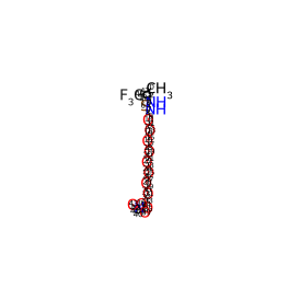 Cc1cc(NC(=S)NCCOCCOCCOCCOCCOCCOCCOCCOCCC(=O)ON2C(=O)CCC2=O)cc(C(F)(F)F)c1